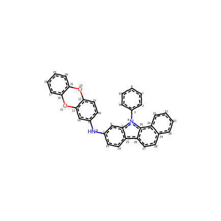 c1ccc(-n2c3cc(Nc4ccc5c(c4)Oc4ccccc4O5)ccc3c3ccc4ccccc4c32)cc1